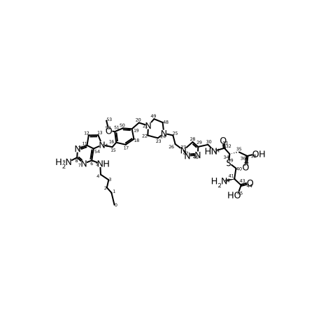 CCCCCNc1nc(N)nc2ccn(Cc3ccc(CN4CCN(CCn5cc(CNC(=O)[C@H](CC(=O)O)SC[C@H](N)C(=O)O)nn5)CC4)cc3OC)c12